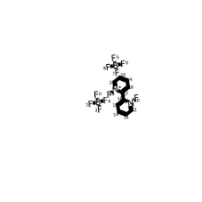 F[B-](F)(F)F.F[B-](F)(F)F.F[n+]1ccccc1-c1cccc[n+]1F